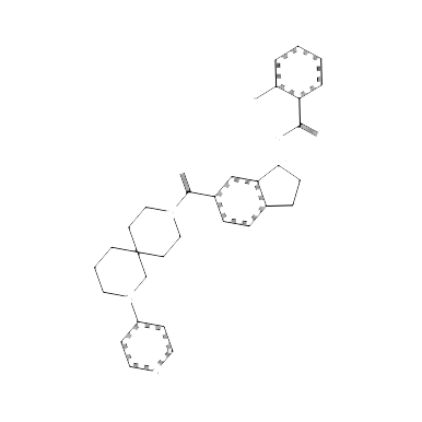 O=C(N[C@@H]1CCc2ccc(C(=O)N3CCC4(CCCN(c5ccncc5)C4)CC3)cc21)c1ccccc1Cl